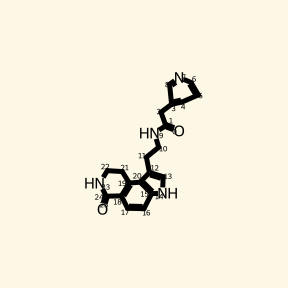 O=C(Cc1cccnc1)NCCc1c[nH]c2ccc3c(c12)CCNC3=O